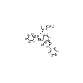 CC(CC=O)Cc1ccc(OCc2ccccc2)c(I)c1OCc1ccccc1